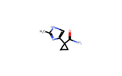 Cc1nc(C2(C(N)=O)CC2)c[nH]1